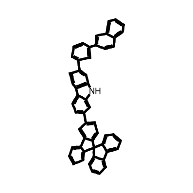 c1cc(-c2ccc3ccccc3c2)cc(-c2ccc3c(c2)[nH]c2cc(-c4ccc5c(c4)-c4ccccc4C54c5ccccc5-c5ccccc54)ccc23)c1